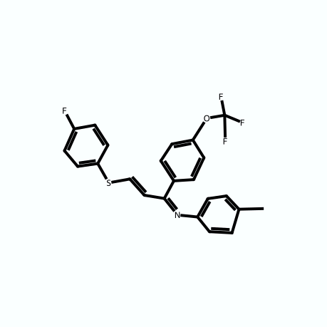 Cc1ccc(N=C(C=CSc2ccc(F)cc2)c2ccc(OC(F)(F)F)cc2)cc1